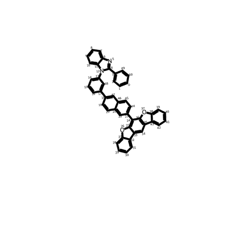 c1ccc(-c2nc3ccccc3n2-c2cccc(-c3ccc4cc(-c5c6oc7ccccc7c6cc6c5oc5ccccc56)ccc4c3)c2)cc1